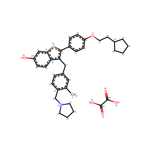 Cc1cc(Cc2c(-c3ccc(OCCC4CCCC4)cc3)sc3cc(O)ccc23)ccc1CN1CCCC1.O=C(O)C(=O)O